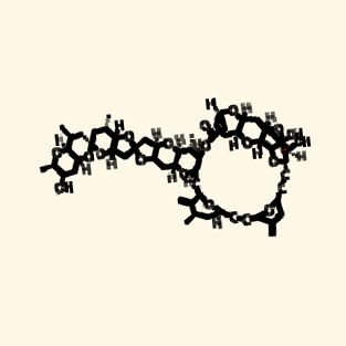 C=C1CC2CC[C@@]34OC5[C@H]6O[C@H](CC[C@@H]6O[C@H]6C(O3)[C@](O)(O[C@@H]56)[C@H]4O)CC(=O)O[C@@H]3[C@@H](C)[C@@H]4O[C@@H]5C[C@]6(C[C@@H]7O[C@]8(C[C@H](C)[C@@H]9O[C@H](C)[C@H](O)C[C@@H]9O8)C[C@H](C)[C@@H]7O6)OC5C[C@@H]4O[C@H]3CC3O[C@@H](CCC1O2)C[C@@H](C)C3=C